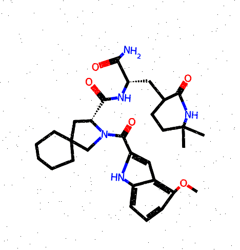 COc1cccc2[nH]c(C(=O)N3CC4(CCCCC4)C[C@@H]3C(=O)N[C@@H](CC3CCC(C)(C)NC3=O)C(N)=O)cc12